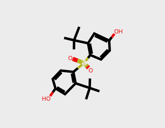 CC(C)(C)c1cc(O)ccc1S(=O)(=O)c1ccc(O)cc1C(C)(C)C